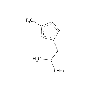 CCCCCCC(C)Cc1ccc(C(F)(F)F)o1